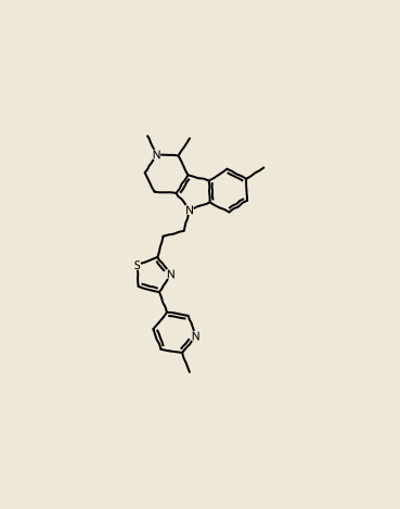 Cc1ccc2c(c1)c1c(n2CCc2nc(-c3ccc(C)nc3)cs2)CCN(C)C1C